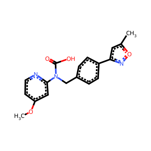 COc1ccnc(N(Cc2ccc(-c3cc(C)on3)cc2)C(=O)O)c1